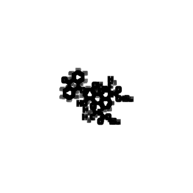 CC(N)N(C(=O)OC(C)(C)C)c1ccc(N(C(=O)OC(C)(C)C)C(C)N)c2c1C(=O)c1c(O)ccc(O)c1C2=O.O=C1c2ccccc2C(=O)c2ccccc21